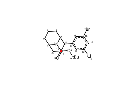 CC(C)(C)OC(=O)N1C2CCCC1C(c1cc(Cl)nc(Br)c1)OC2